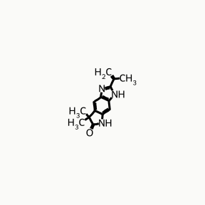 C=C(C)c1nc2cc3c(cc2[nH]1)NC(=O)C3(C)C